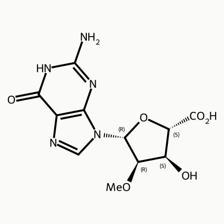 CO[C@@H]1[C@H](O)[C@@H](C(=O)O)O[C@H]1n1cnc2c(=O)[nH]c(N)nc21